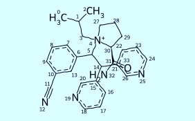 CC(C)C[N+]1(C(c2cccc(C#N)c2)C(c2cccnc2)c2cccnc2)CCC[C@H]1C(N)=O